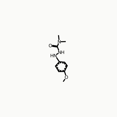 COc1ccc(NNC(=O)N(C)C)cc1